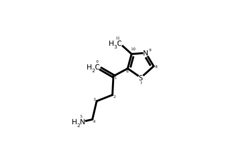 C=C(CCCN)c1scnc1C